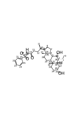 CC[C@H]1[C@@H](O)C2C3CC[C@H]([C@H](C)CCC(=O)NS(=O)(=O)c4ccccc4)[C@@]3(C)CCC2[C@@]2(C)CC[C@@H](O)C[C@@H]12